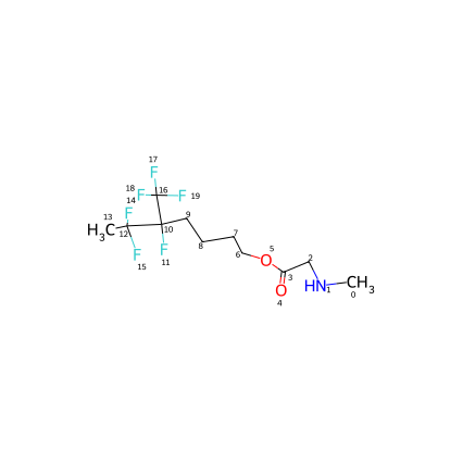 CNCC(=O)OCCCCC(F)(C(C)(F)F)C(F)(F)F